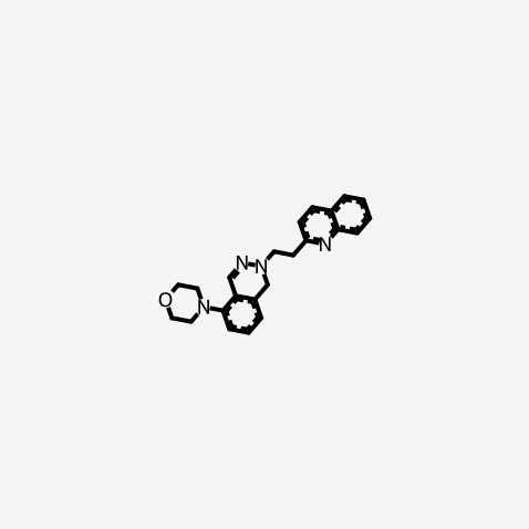 C1=NN(CCc2ccc3ccccc3n2)Cc2cccc(N3CCOCC3)c21